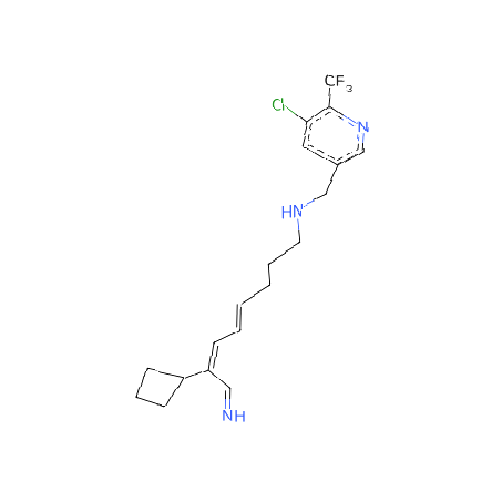 N=C/C(=C\C=C\CCCNCc1cnc(C(F)(F)F)c(Cl)c1)C1CCC1